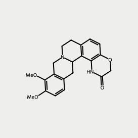 COc1ccc2c(c1OC)CN1CCc3ccc4c(c3C1C2)NC(=O)CO4